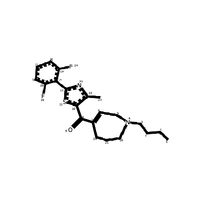 CCCCN1CC=C(C(=O)c2sc(-c3c(F)cccc3F)nc2C)CCC1